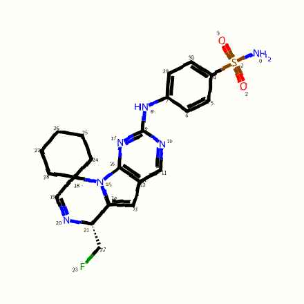 NS(=O)(=O)c1ccc(Nc2ncc3cc4n(c3n2)C2(C=N[C@H]4CF)CCCCC2)cc1